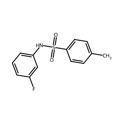 Cc1ccc(S(=O)(=O)Nc2cccc(F)c2)cc1